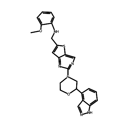 COc1ccccc1NCc1cc2nc(N3CCOC(c4cccc5[nH]ncc45)C3)ncc2s1